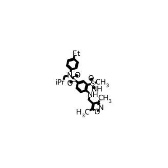 CCc1ccc(N(CC(C)C)S(=O)(=O)c2ccc(NCc3c(C)noc3C)c(S(C)(=N)=O)c2)cc1